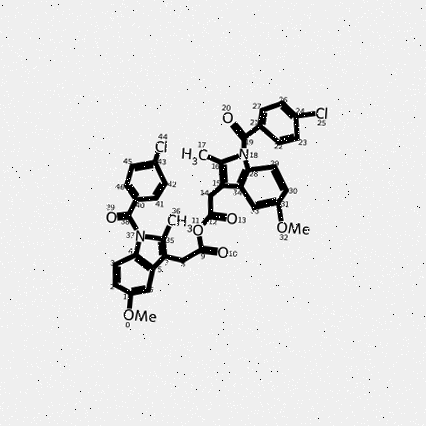 COc1ccc2c(c1)c(CC(=O)OC(=O)Cc1c(C)n(C(=O)c3ccc(Cl)cc3)c3ccc(OC)cc13)c(C)n2C(=O)c1ccc(Cl)cc1